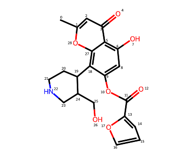 Cc1cc(=O)c2c(O)cc(OC(=O)c3ccco3)c(C3CCNCC3CO)c2o1